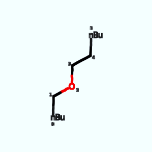 C[CH]CCCOCCCCCC